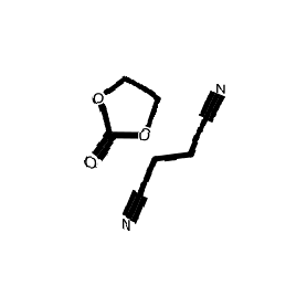 N#CCCC#N.O=C1OCCO1